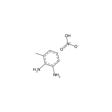 Cc1cccc(N)c1N.O=[N+]([O-])O